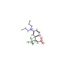 CCCN(CCC)c1ccc2oc(=O)cc(C(F)(F)F)c2c1